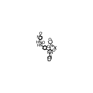 COc1ccc(NC(=O)Nc2ccc(-c3nc(N4CC5CCC(C4)O5)nc4c3C(=O)N(C3CCOCC3)CC(C)(C)O4)cc2)cn1